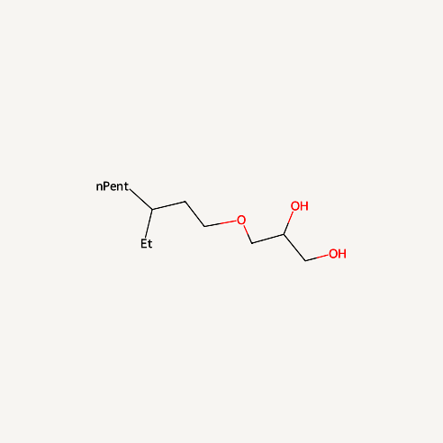 CCCCCC(CC)CCOCC(O)CO